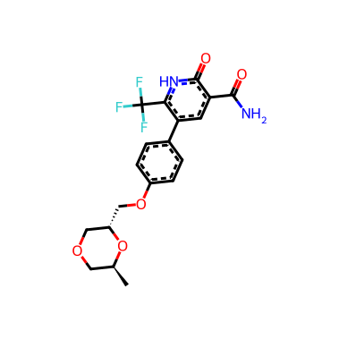 C[C@H]1COC[C@H](COc2ccc(-c3cc(C(N)=O)c(=O)[nH]c3C(F)(F)F)cc2)O1